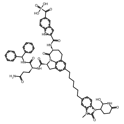 Cn1c(=O)n(C2CCC(=O)NC2O)c2ccc(CCCCCCc3cc4c5c(c3)C[C@@H](C(=O)N[C@@H](CCC(N)=O)C(=O)NC(c3ccccc3)c3ccccc3)N5C(=O)[C@@H](NC(=O)c3cc5cc(C(=O)P(=O)(O)O)ccc5[nH]3)CC4)cc21